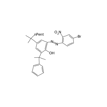 CCCCCC(C)(C)c1cc(N=Nc2ccc(Br)cc2[N+](=O)[O-])c(O)c(C(C)(C)c2ccccc2)c1